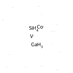 [Co].[GaH3].[SiH4].[V]